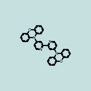 c1ccc2c(c1)Oc1ccccc1N2c1ccnc(-c2cc(N3c4ccccc4Oc4ccccc43)ccn2)c1